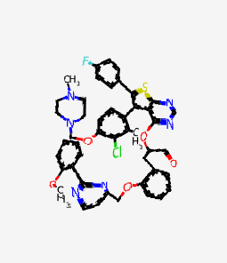 COc1ccccc1-c1nccc(COc2ccccc2CC(C=O)Oc2ncnc3sc(-c4ccc(F)cc4)c(-c4ccc(OCN5CCN(C)CC5)c(Cl)c4C)c23)n1